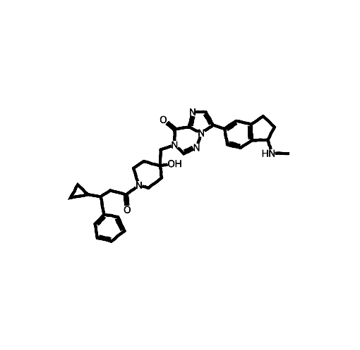 CNC1CCc2cc(-c3cnc4c(=O)n(CC5(O)CCN(C(=O)CC(c6ccccc6)C6CC6)CC5)cnn34)ccc21